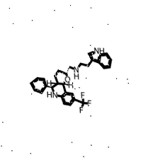 FC(F)(F)c1ccc2c(c1)[C@H]1O[C@@H](CNCCc3c[nH]c4ccccc34)CC[C@H]1[C@H](c1ccccc1)N2